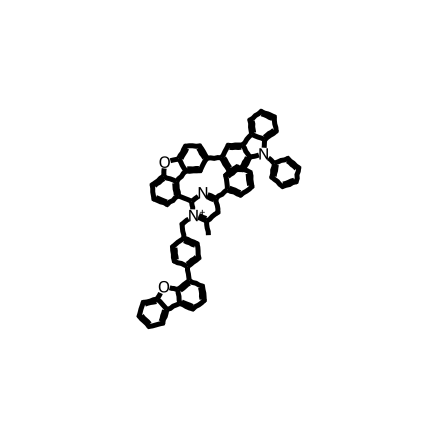 CC1=[N+](Cc2ccc(-c3cccc4c3oc3ccccc34)cc2)C(c2cccc3oc4ccc(-c5ccc6c(c5)c5ccccc5n6-c5ccccc5)cc4c23)N=C(c2ccccc2)C1